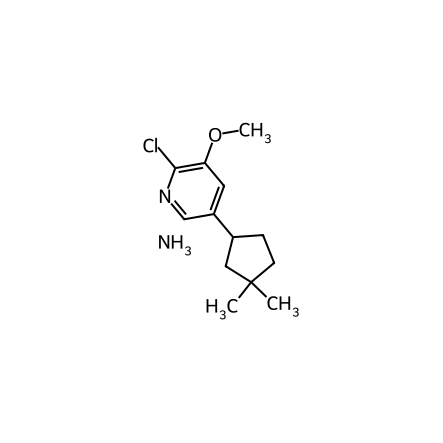 COc1cc(C2CCC(C)(C)C2)cnc1Cl.N